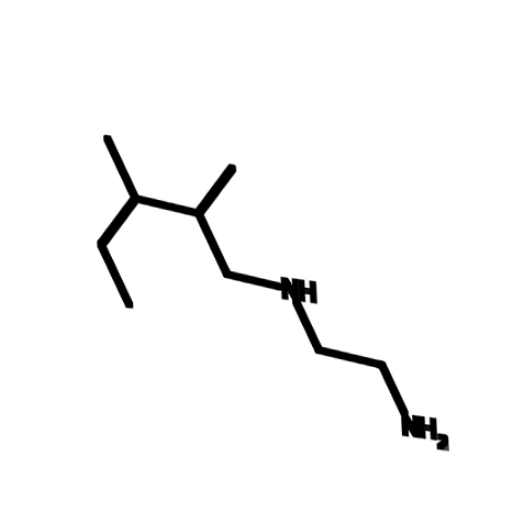 CCC(C)C(C)CNCCN